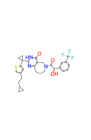 O=C([C@H](O)c1cccc(C(F)(F)F)c1)N1CCCc2nc(C3(c4cc(CCC5CC5)cs4)CC3)[nH]c(=O)c2C1